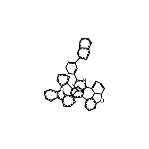 C1=CC2Oc3cccc(-c4ccc(-c5ccccc5)cc4)c3C2C(c2nc(C3=CC(c4ccc5ccccc5c4)=CCC3)nc(-c3cccc4c3oc3ccccc34)n2)=C1